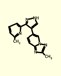 Cc1cccc(-c2n[nH]cc2-c2ccc3nc(C)nn3c2)n1